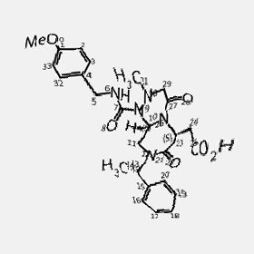 COc1ccc(CNC(=O)N2[C@H]3CN([C@@H](C)c4ccccc4)C(=O)[C@H](CC(=O)O)N3C(=O)CN2C)cc1